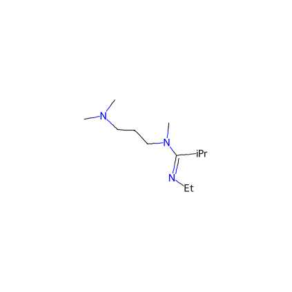 CC/N=C(\C(C)C)N(C)CCCN(C)C